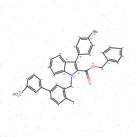 Cc1ccc(-c2cccc(C(=O)O)c2)cc1Cn1c(C(=O)OCc2ccccc2)c(-c2ccc(C(C)(C)C)cc2)c2ccccc21